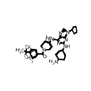 CC(C)(C)c1ccc(C(=O)N2CCC(Nc3nc(NC4CCC(N)CC4)nc4c3ncn4C3CCCC3)CC2)cc1